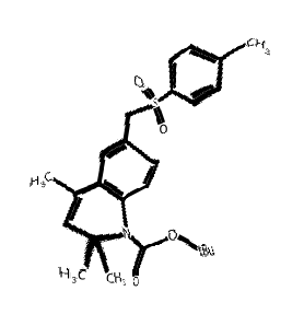 CC1=CC(C)(C)N(C(=O)OC(C)(C)C)c2ccc(CS(=O)(=O)c3ccc(C)cc3)cc21